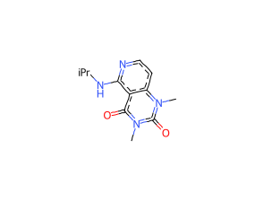 CC(C)Nc1nccc2c1c(=O)n(C)c(=O)n2C